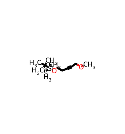 COCC#CCCO[Si](C)(C)C(C)(C)C